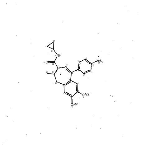 COc1cc2c(cc1OC)C(c1ccc(N)cc1)=NN(C(=O)NC1CC1)C(C)C2